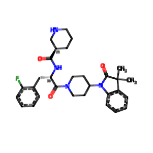 CC1(C)C(=O)N(C2CCN(C(=O)[C@H](Cc3ccccc3F)NC(=O)[C@@H]3CCCNC3)CC2)c2ccccc21